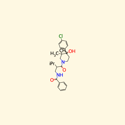 CC(C)C(CNC(=O)c1ccccc1)C(=O)N1CCC(O)(c2ccc(Cl)cc2)C(C)(C)C1